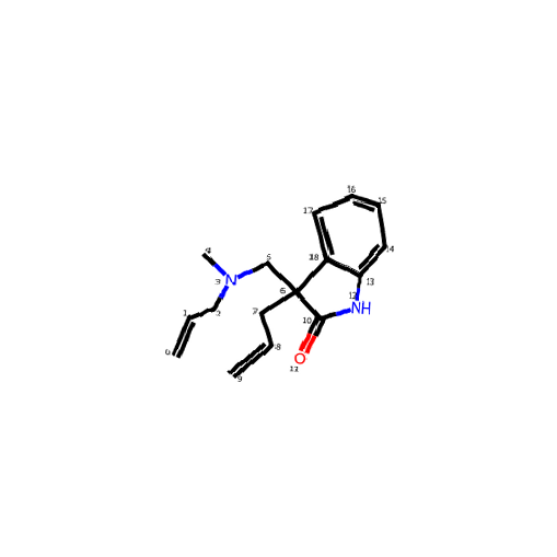 C=CCN(C)CC1(CC=C)C(=O)Nc2ccccc21